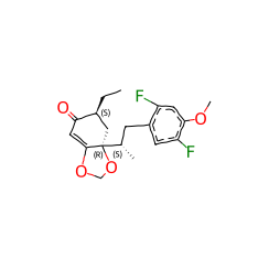 CC[C@H]1C[C@]2([C@@H](C)Cc3cc(F)c(OC)cc3F)OCOC2=CC1=O